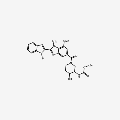 CCn1c(-c2nc3cc(C(=O)N4CCC(O)C(NC(=O)OC(C)(C)C)C4)cc(OC)c3n2C)cc2ccccc21